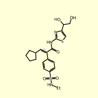 CCNS(=O)(=O)c1ccc(/C(=C\C2CCCC2)C(=O)Nc2nc(C(O)CO)cs2)cc1